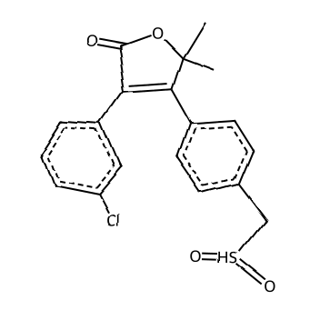 CC1(C)OC(=O)C(c2cccc(Cl)c2)=C1c1ccc(C[SH](=O)=O)cc1